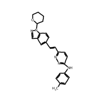 Cc1ccc(Nc2ccc(/C=C/c3ccc4c(cnn4C4CCCCO4)c3)nn2)cc1